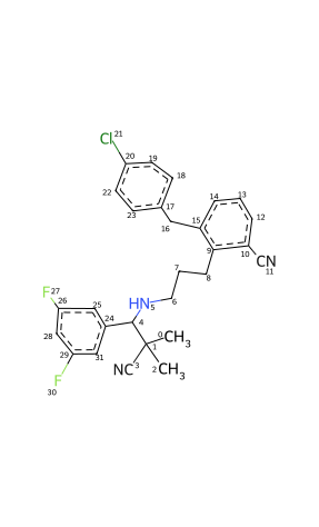 CC(C)(C#N)C(NCCCc1c(C#N)cccc1Cc1ccc(Cl)cc1)c1cc(F)cc(F)c1